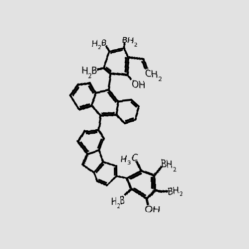 Bc1c(B)c(C=C)c(O)c(-c2c3ccccc3c(-c3ccc4c(c3)-c3cc(-c5c(B)c(O)c(B)c(B)c5C)ccc3C4)c3ccccc23)c1B